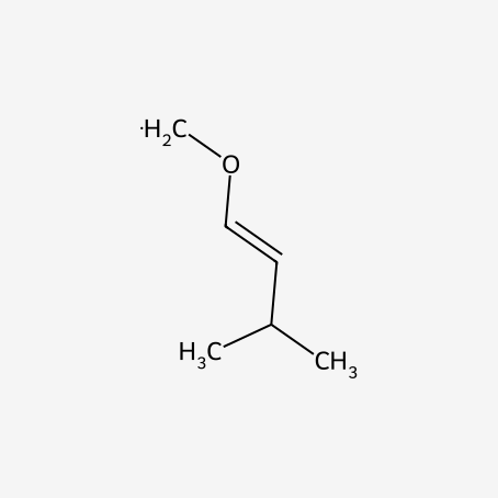 [CH2]OC=CC(C)C